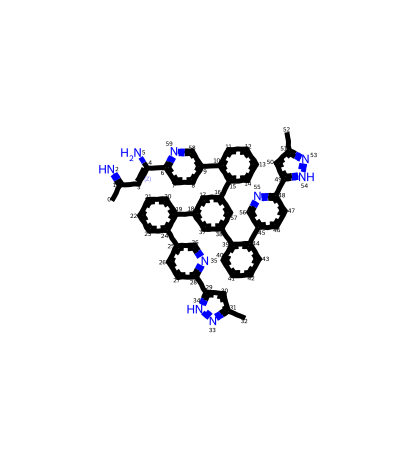 CC(=N)/C=C(\N)c1ccc(-c2ccccc2-c2cc(-c3ccccc3-c3ccc(-c4cc(C)n[nH]4)nc3)cc(-c3ccccc3-c3ccc(-c4cc(C)n[nH]4)nc3)c2)cn1